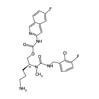 CN(C(=O)NCc1cccc(F)c1Cl)[C@@H](CCCN)COC(=O)Nc1cc2cc(F)ccc2cn1